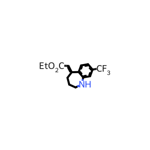 CCOC(=O)/C=C1\CCCNc2cc(C(F)(F)F)ccc21